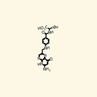 CCCCC(NC(=O)c1ccc(NCc2cnc3[nH]c(N)cc(=O)c3n2)cc1)C(=O)O